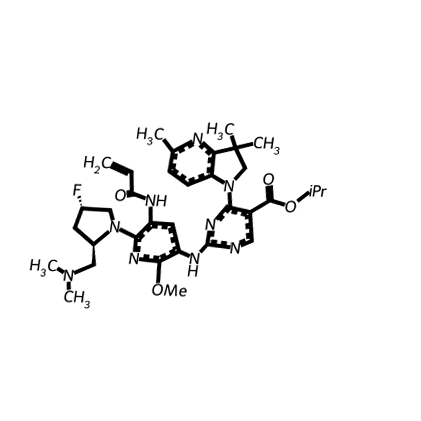 C=CC(=O)Nc1cc(Nc2ncc(C(=O)OC(C)C)c(N3CC(C)(C)c4nc(C)ccc43)n2)c(OC)nc1N1C[C@@H](F)C[C@@H]1CN(C)C